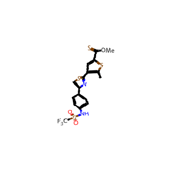 COC(=S)c1cc(-c2nc(-c3ccc(NS(=O)(=O)C(F)(F)F)cc3)cs2)c(C)s1